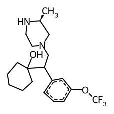 C[C@H]1CN(CC(c2cccc(OC(F)(F)F)c2)C2(O)CCCCC2)CCN1